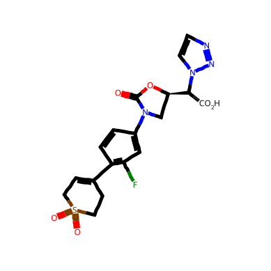 O=C(O)C([C@H]1CN(c2ccc(C3=CCS(=O)(=O)CC3)c(F)c2)C(=O)O1)n1ccnn1